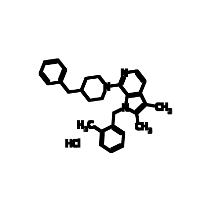 Cc1ccccc1Cn1c(C)c(C)c2ccnc(N3CCC(Cc4ccccc4)CC3)c21.Cl